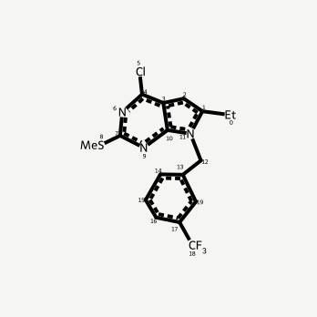 CCc1cc2c(Cl)nc(SC)nc2n1Cc1cccc(C(F)(F)F)c1